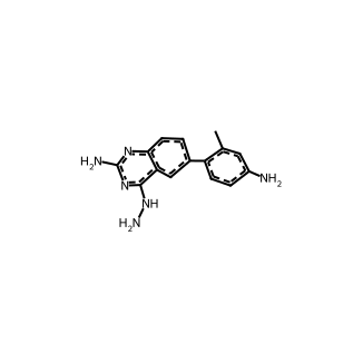 Cc1cc(N)ccc1-c1ccc2nc(N)nc(NN)c2c1